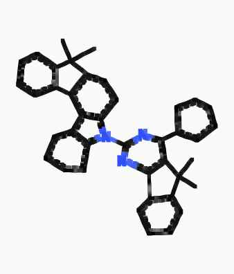 CC1(C)c2ccccc2-c2c1ccc1c2c2ccccc2n1-c1nc(-c2ccccc2)c2c(n1)-c1ccccc1C2(C)C